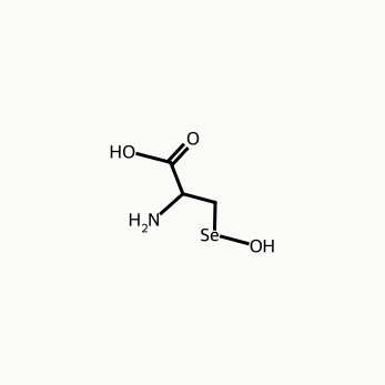 NC(C[Se]O)C(=O)O